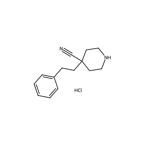 Cl.N#CC1(CCc2ccccc2)CCNCC1